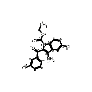 CCOC(=O)n1c(C(=O)c2cccc(Cl)c2)c(N)c2cc(Cl)ccc21